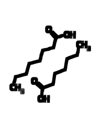 CCCCCCC(=O)O.CCCCCCCC(=O)O